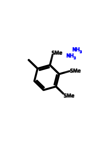 CSc1ccc(C)c(SC)c1SC.N.N